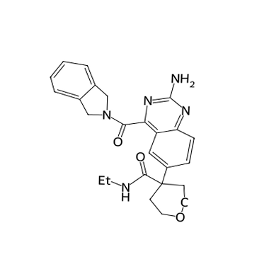 CCNC(=O)C1(c2ccc3nc(N)nc(C(=O)N4Cc5ccccc5C4)c3c2)CCOCC1